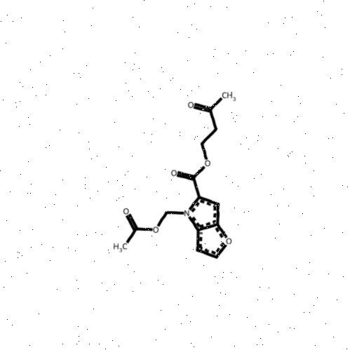 CC(=O)CCOC(=O)c1cc2occc2n1COC(C)=O